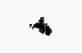 N[C@H](C(=O)Nc1cccc(F)c1CCC1C2CN2C2CCCS(=O)(=O)N1C2)[C@@H](c1ccc(Cl)cc1)c1ccc(C(F)(F)F)nc1